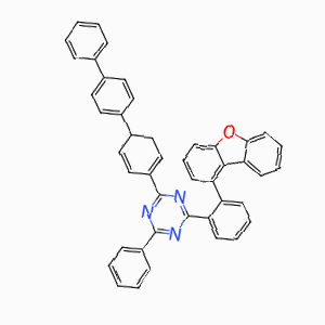 C1=CC(c2ccc(-c3ccccc3)cc2)CC=C1c1nc(-c2ccccc2)nc(-c2ccccc2-c2cccc3oc4ccccc4c23)n1